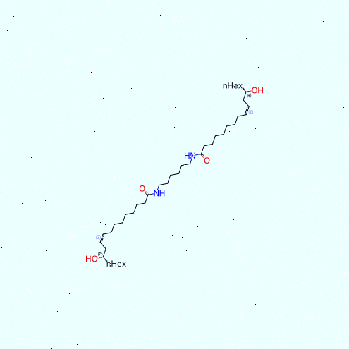 CCCCCC[C@@H](O)C/C=C\CCCCCCCC(=O)NCCCCCCNC(=O)CCCCCCC/C=C\C[C@H](O)CCCCCC